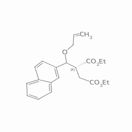 C=CCOC(c1ccc2ccccc2c1)[C@@H](CC(=O)OCC)C(=O)OCC